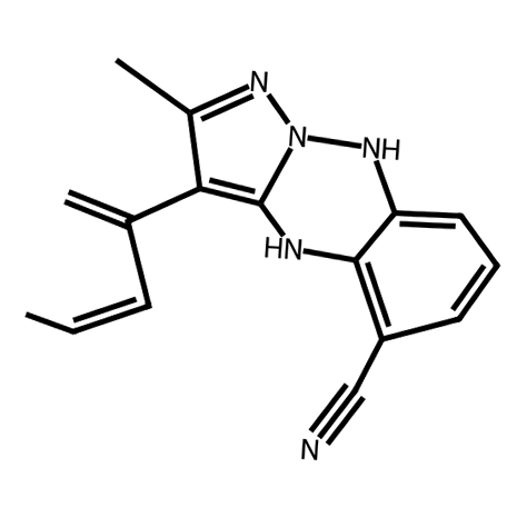 C=C(/C=C\C)c1c(C)nn2c1Nc1c(C#N)cccc1N2